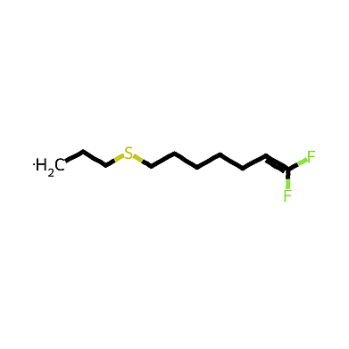 [CH2]CCSCCCCCC=C(F)F